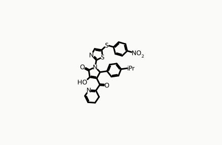 CC(C)c1ccc(C2C(C(=O)C3=NC=CCC3)=C(O)C(=O)N2c2ncc(Sc3ccc([N+](=O)[O-])cc3)s2)cc1